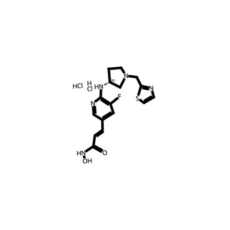 Cl.Cl.O=C(C=Cc1cnc(N[C@@H]2CCN(Cc3nccs3)C2)c(F)c1)NO